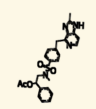 CC(=O)OC(CN(C)S(=O)(=O)c1ccc(Cc2nccc3[nH]c(C)nc23)cc1)c1ccccc1